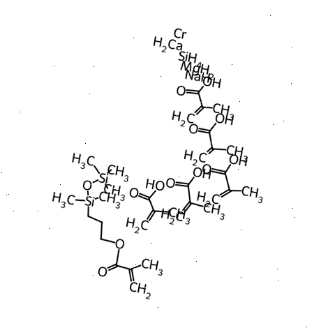 C=C(C)C(=O)O.C=C(C)C(=O)O.C=C(C)C(=O)O.C=C(C)C(=O)O.C=C(C)C(=O)O.C=C(C)C(=O)OCCC[Si](C)(C)O[Si](C)(C)C.[CaH2].[Cr].[MgH2].[NaH].[SiH4]